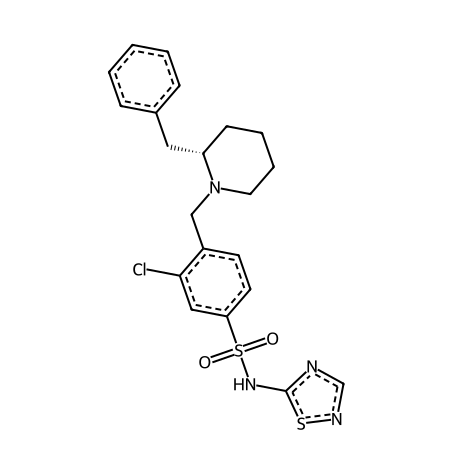 O=S(=O)(Nc1ncns1)c1ccc(CN2CCCC[C@H]2Cc2ccccc2)c(Cl)c1